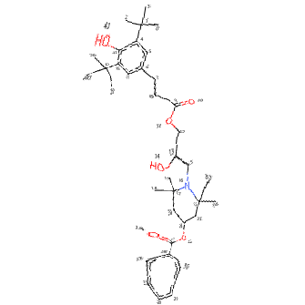 CC(C)(C)c1cc(CCC(=O)OCC(O)CN2C(C)(C)CC(OC(=O)c3ccccc3)CC2(C)C)cc(C(C)(C)C)c1O